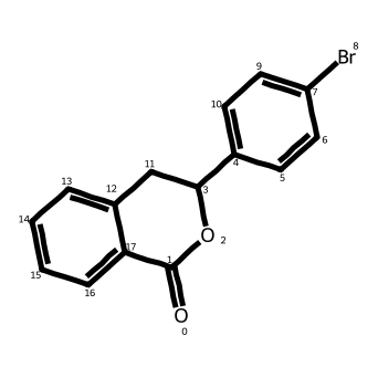 O=C1OC(c2ccc(Br)cc2)Cc2ccccc21